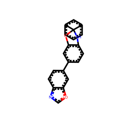 c1cc2cc(c1)C21Nc2ccc(-c3ccc4ncoc4c3)cc2O1